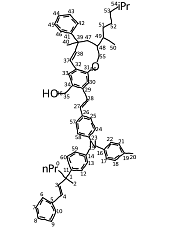 CCCC(C)(/C=C/c1ccccc1)c1ccc(N(c2ccc(C)cc2)c2ccc(/C=C/c3cc4c(cc3CO)/C=C/C(C)(c3ccccc3)CC(C(C)CCCC(C)C)CO4)cc2)cc1